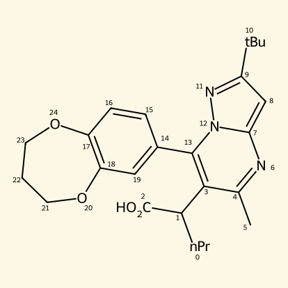 CCCC(C(=O)O)c1c(C)nc2cc(C(C)(C)C)nn2c1-c1ccc2c(c1)OCCCO2